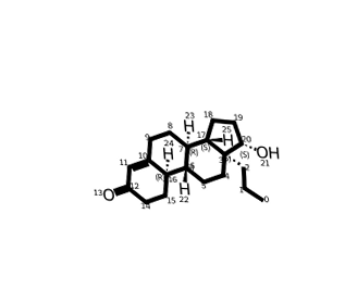 CCC[C@]12CC[C@H]3[C@@H](CCC4=CC(=O)CC[C@@H]43)[C@@H]1CC[C@@H]2O